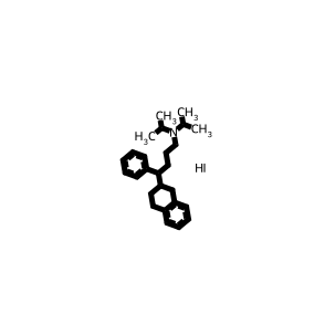 CC(C)N(CCCC(c1ccccc1)C1CCc2ccccc2C1)C(C)C.I